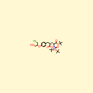 CC(C)(C)OC(=O)N[C@@H](C[C@H](Cc1ccc(OC(CO)C[18F])cc1)C(=O)OC(C)(C)C)C(=O)OC(C)(C)C